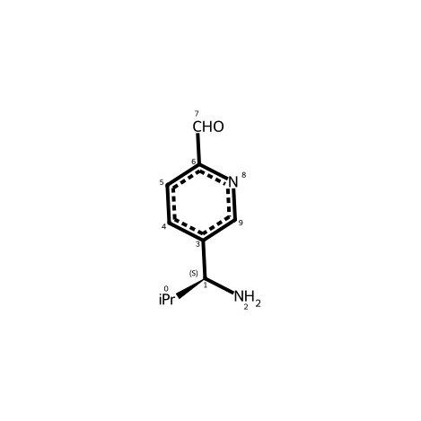 CC(C)[C@H](N)c1ccc(C=O)nc1